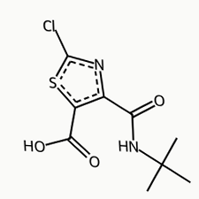 CC(C)(C)NC(=O)c1nc(Cl)sc1C(=O)O